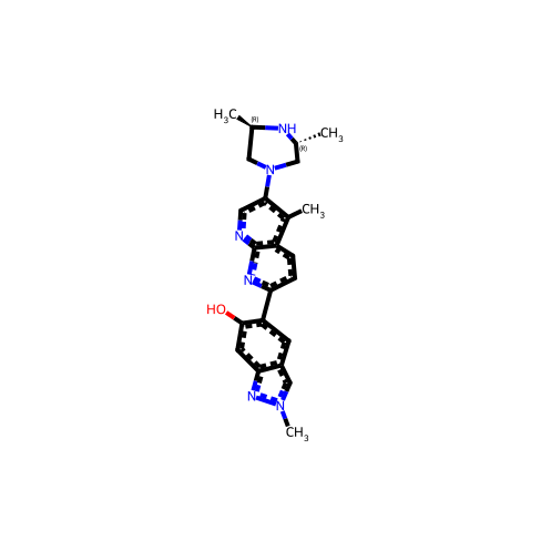 Cc1c(N2C[C@@H](C)N[C@H](C)C2)cnc2nc(-c3cc4cn(C)nc4cc3O)ccc12